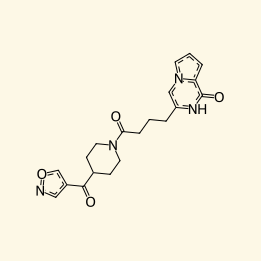 O=C(c1cnoc1)C1CCN(C(=O)CCCc2cn3cccc3c(=O)[nH]2)CC1